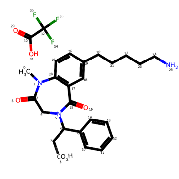 CN1C(=O)CN(C(CC(=O)O)c2ccccc2)C(=O)c2cc(CCCCCN)ccc21.O=C(O)C(F)(F)F